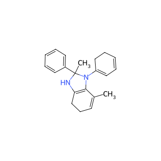 CC1=CCCC2=C1N(C1=CC=CCC1)C(C)(c1ccccc1)N2